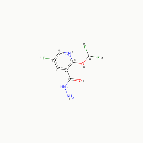 NNC(=O)c1cc(F)cnc1OC(F)F